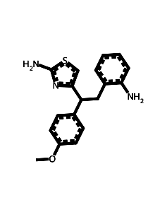 COc1ccc(C(Cc2ccccc2N)c2csc(N)n2)cc1